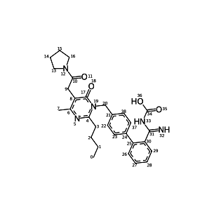 CCCCc1nc(C)c(CC(=O)N2CCCC2)c(=O)n1Cc1ccc(-c2ccccc2C(=N)NC(=O)O)cc1